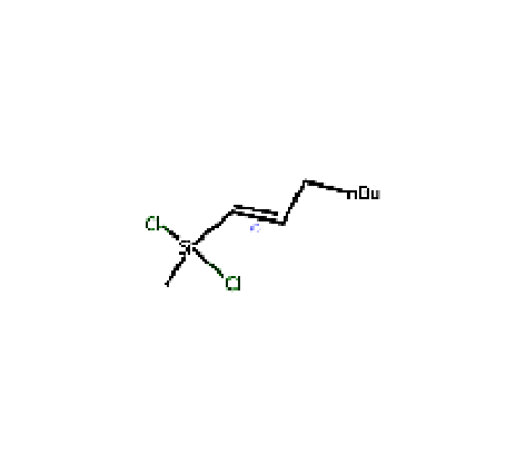 CCCCC/C=C/[Si](C)(Cl)Cl